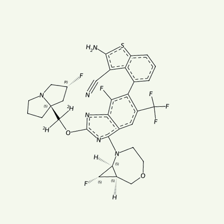 [2H]C([2H])(Oc1nc(N2CCOC[C@H]3[C@H](F)[C@H]32)c2cc(C(F)(F)F)c(-c3cccc4sc(N)c(C#N)c34)c(F)c2n1)[C@@]12CCCN1C[C@H](F)C2